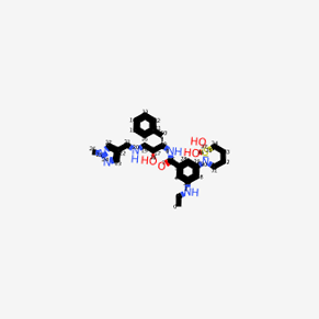 CCNc1cc(C(=O)N[C@@H](Cc2ccccc2)[C@@H](O)CNCc2cnn(C)c2)cc(N2CCCCS2(O)O)c1